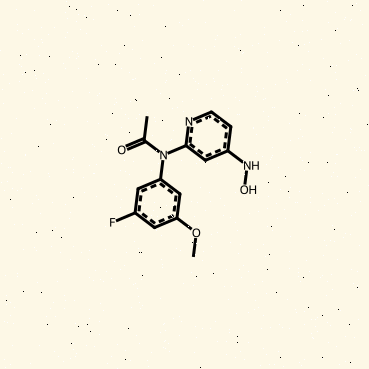 COc1cc(F)cc(N(C(C)=O)c2cc(NO)ccn2)c1